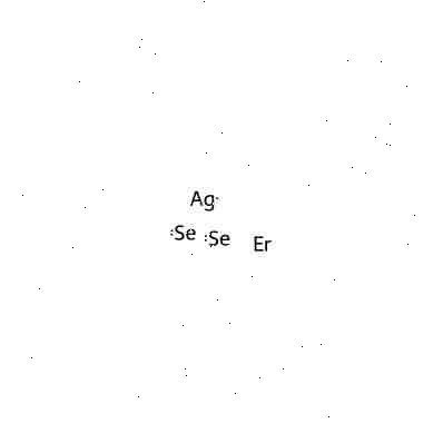 [Ag].[Er].[Se].[Se]